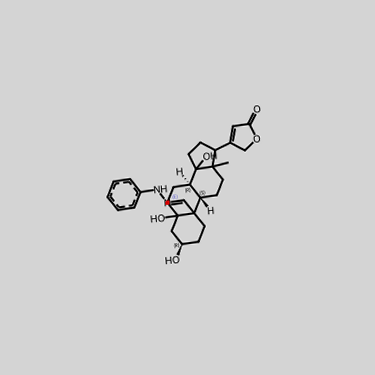 CC12CC[C@H]3[C@@H](CCC4(O)C[C@H](O)CCC34/C=N/Nc3ccccc3)C1(O)CCC2C1=CC(=O)OC1